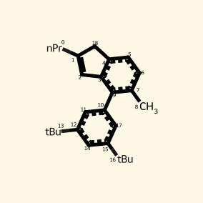 CCCC1=Cc2c(ccc(C)c2-c2cc(C(C)(C)C)cc(C(C)(C)C)c2)[CH]1